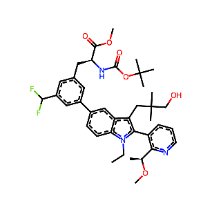 CCn1c(-c2cccnc2[C@H](C)OC)c(CC(C)(C)CO)c2cc(-c3cc(C[C@H](NC(=O)OC(C)(C)C)C(=O)OC)cc(C(F)F)c3)ccc21